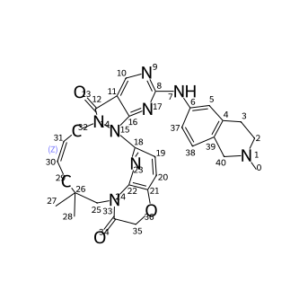 CN1CCc2cc(Nc3ncc4c(=O)n5n(c4n3)-c3ccc4c(n3)N(CC(C)(C)C/C=C\C5)C(=O)CO4)ccc2C1